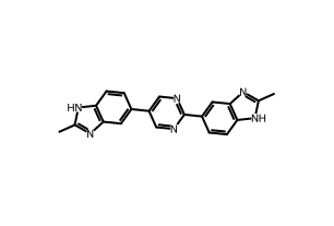 Cc1nc2cc(-c3cnc(-c4ccc5[nH]c(C)nc5c4)nc3)ccc2[nH]1